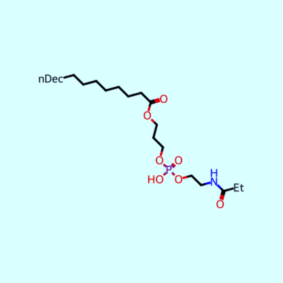 CCCCCCCCCCCCCCCCCC(=O)OCCCOP(=O)(O)OCCNC(=O)CC